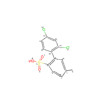 Cc1ccc(S(=O)(=O)O)c(-c2ccc(Cl)cc2Cl)c1